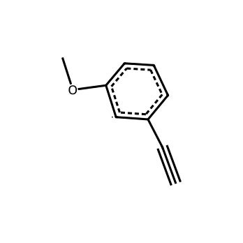 C#Cc1[c]c(OC)ccc1